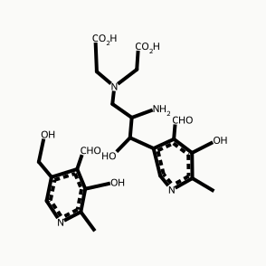 Cc1ncc(C(O)C(N)CN(CC(=O)O)CC(=O)O)c(C=O)c1O.Cc1ncc(CO)c(C=O)c1O